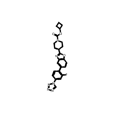 O=C(OC1CCC1)N1CCC(c2nc3cc(-c4ccc(-n5cnnn5)cc4F)ccc3o2)CC1